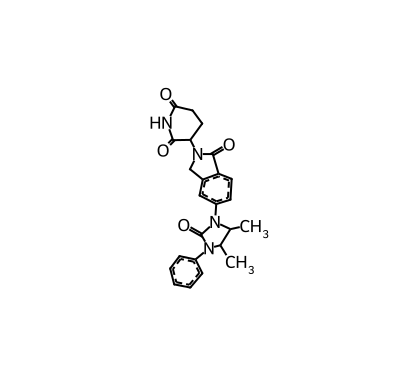 CC1C(C)N(c2ccc3c(c2)CN(C2CCC(=O)NC2=O)C3=O)C(=O)N1c1ccccc1